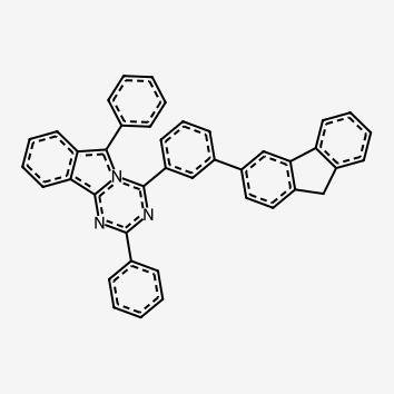 c1ccc(-c2nc(-c3cccc(-c4ccc5c(c4)-c4ccccc4C5)c3)n3c(-c4ccccc4)c4ccccc4c3n2)cc1